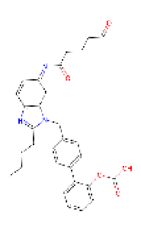 CCCCc1nc2c(n1Cc1ccc(-c3ccccc3OC(=O)O)cc1)CC(=NC(=O)CCCC=O)C=C2